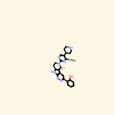 COc1nc(N2CCc3[nH]c4nnc(-c5ccccc5O)cc4c3[C@H]2C)ncc1C1CCNCC1